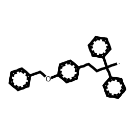 [CH2]C(CCc1ccc(OCc2ccccc2)cc1)(c1ccccc1)c1ccccc1